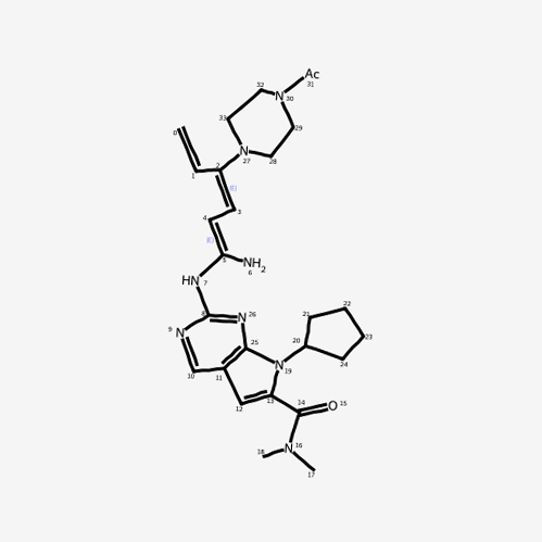 C=C/C(=C\C=C(/N)Nc1ncc2cc(C(=O)N(C)C)n(C3CCCC3)c2n1)N1CCN(C(C)=O)CC1